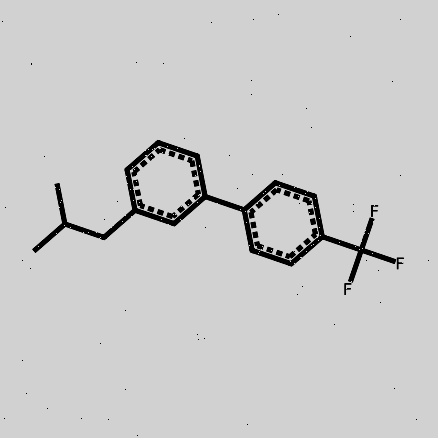 CC(C)Cc1cccc(-c2ccc(C(F)(F)F)cc2)c1